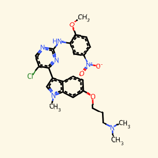 COc1ccc([N+](=O)[O-])cc1Nc1ncc(Cl)c(-c2cn(C)c3cc(OCCCN(C)C)ccc23)n1